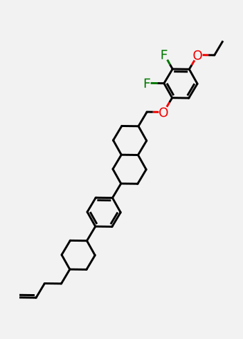 C=CCCC1CCC(c2ccc(C3CCC4CC(COc5ccc(OCC)c(F)c5F)CCC4C3)cc2)CC1